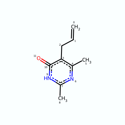 C=CCc1c(C)nc(C)[nH]c1=O